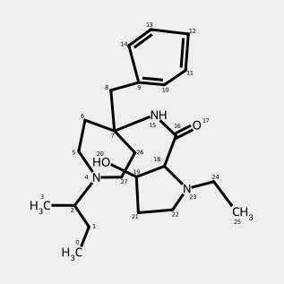 CCC(C)N1CCC(Cc2ccccc2)(NC(=O)C2C(O)CCN2CC)CC1